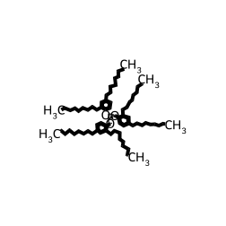 CCCCCCCCCc1ccc(OP(Oc2ccc(CCCCCCCCC)cc2CCCCCCCCC)Oc2ccc(CCCCCCCCC)cc2CCCCCCCCC)c(CCCCCCCCC)c1